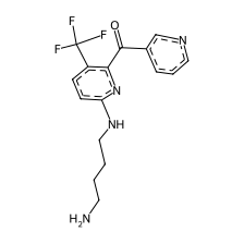 NCCCCNc1ccc(C(F)(F)F)c(C(=O)c2cccnc2)n1